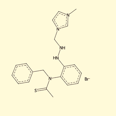 CC(=S)N(Cc1ccccc1)c1ccccc1NNC[n+]1ccn(C)c1.[Br-]